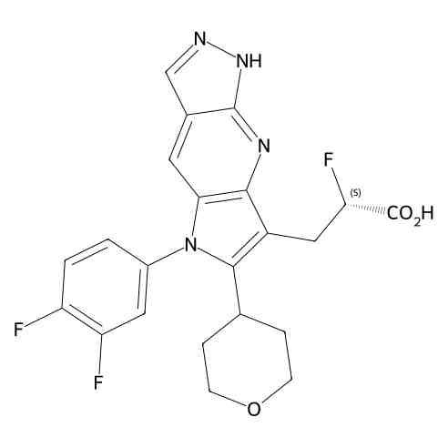 O=C(O)[C@@H](F)Cc1c(C2CCOCC2)n(-c2ccc(F)c(F)c2)c2cc3cn[nH]c3nc12